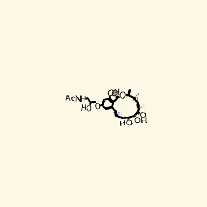 CC(=O)NCC(O)COc1cc(O)c2c(c1)/C=C/CC(O)C(O)C(=O)/C=C\[C@@H](C)C(C)OC2=O